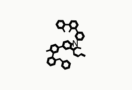 C=C/C=C\c1c(C)n(-c2cccc(-c3cccc(-c4ccccc4C)c3C)c2)c2ccc(-c3ccc(C)c(-c4ccccc4Cc4ccccc4)c3)cc12